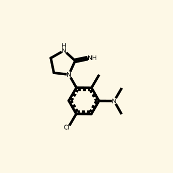 Cc1c(N(C)C)cc(Cl)cc1N1CCNC1=N